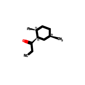 CC(C)[C@@H]1CC[C@@H](C)C[C@@H]1C(=O)CC#N